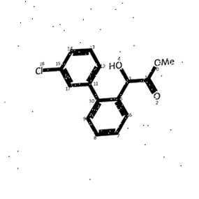 COC(=O)C(O)c1ccccc1-c1cccc(Cl)c1